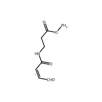 O=C/C=C\C(=O)NCCC(=O)OP